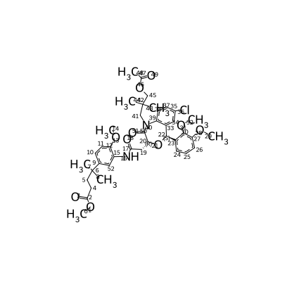 COC(=O)CCC(C)(C)c1ccc(OC)c(NC(=O)C[C@H]2O[C@H](c3cccc(OC)c3OC)c3cc(Cl)ccc3N(CC(C)(C)COC(C)=O)C2=O)c1